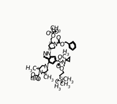 C[C@H]1CN(c2cc(S(=O)(=O)N(COCC[Si](C)(C)C)C3(C)CC3)cc3c2cnn3[C@@H]2C[C@@H](COS(C)(=O)=O)N(C(=O)OCc3ccccc3)C2)C[C@H](C)N1C(=O)OC(C)(C)C